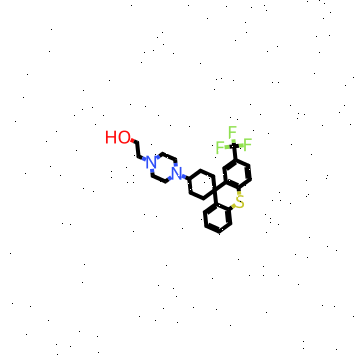 OCCN1CCN(C2CCC3(CC2)c2ccccc2Sc2ccc(C(F)(F)F)cc23)CC1